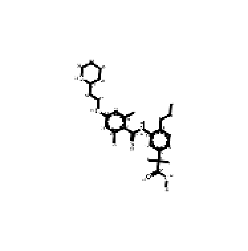 CCCc1ccc(C(C)(C)C(=O)OC)cc1NC(=S)c1c(C)cc(OCCC2CCCCO2)cc1C